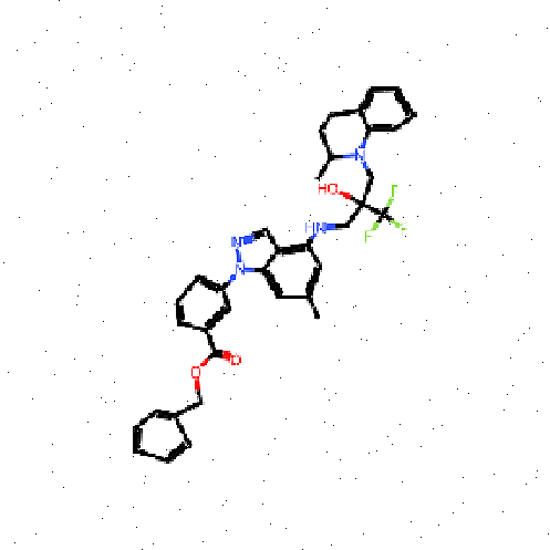 Cc1cc(NCC(O)(CN2c3ccccc3CCC2C)C(F)(F)F)c2cnn(-c3cccc(C(=O)OCc4ccccc4)c3)c2c1